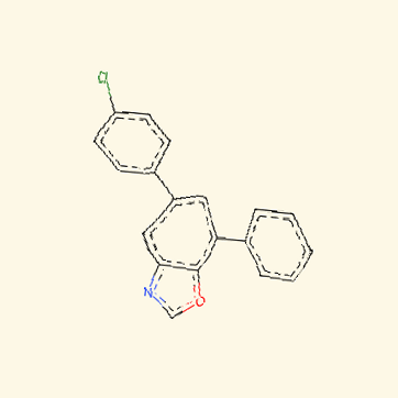 Clc1ccc(-c2cc(-c3ccccc3)c3ocnc3c2)cc1